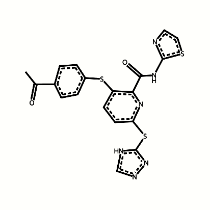 CC(=O)c1ccc(Sc2ccc(Sc3nnc[nH]3)nc2C(=O)Nc2nccs2)cc1